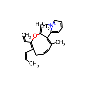 C=C/C1=C(\C=C/C)C/C=C\C(C)=C(\c2cccc[n+]2C)C(=C)O1